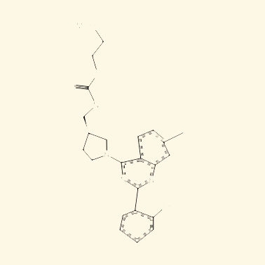 COCCOC(=O)NC[C@@H]1CCN(c2nc(-c3ccccc3O)nc3cc(C)ccc23)C1.Cl